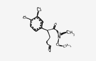 CON(C)C(=O)C(CC=O)c1ccc(Cl)c(Cl)c1